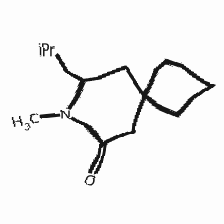 CC(C)C1CC2(CCC2)CC(=O)N1C